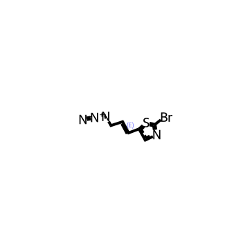 [N-]=[N+]=NC/C=C/c1cnc(Br)s1